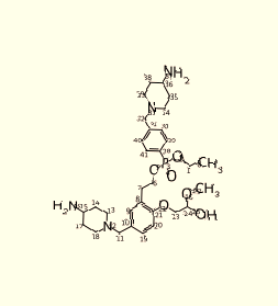 CCOP(=O)(OCCc1cc(CN2CCC(N)CC2)ccc1OCC(O)OC)c1ccc(CN2CCC(N)CC2)cc1